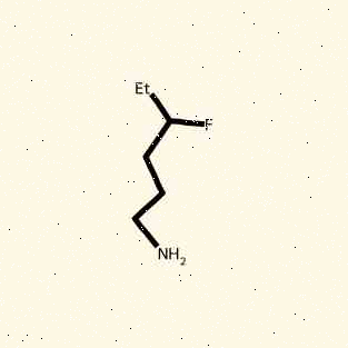 CCC(F)CCCN